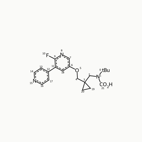 CC(C)(C)N(CC1(COc2cnc(F)c(-c3ccncc3)c2)CC1)C(=O)O